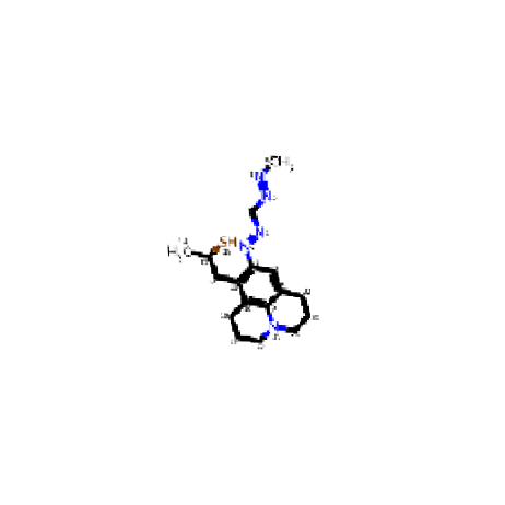 C/N=N/C/N=N/c1cc2c3c(c1CC(C)S)CCCN3CCC2